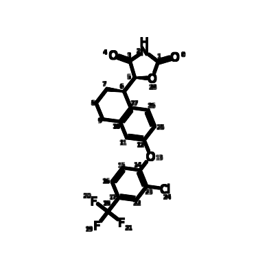 O=C1NC(=O)[C@H]([C@@H]2CCCc3cc(Oc4ccc(C(F)(F)F)cc4Cl)ccc32)O1